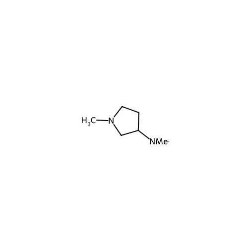 C[N]C1CCN(C)C1